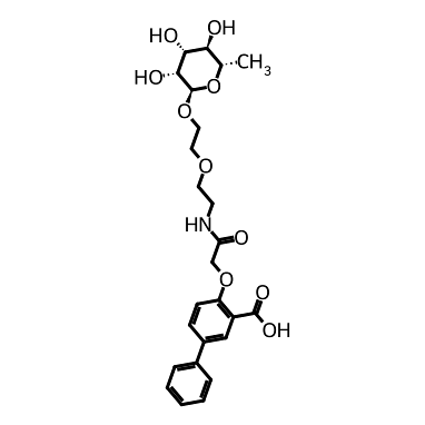 C[C@@H]1O[C@@H](OCCOCCNC(=O)COc2ccc(-c3ccccc3)cc2C(=O)O)[C@H](O)[C@H](O)[C@H]1O